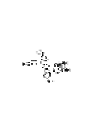 CCC(C)(CC)c1ccc2c(c1)C(c1ccc(O)cc1)c1cc3c(cc1-2)C(c1ccc(O)c(S(=O)(=O)O)c1)c1cc(C(C)(CC)CC)ccc1-3